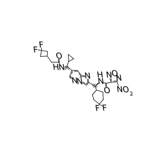 O=C(CC1CC(F)(F)C1)N[C@@H](c1cnn2cc([C@@H](NC(=O)c3nonc3[N+](=O)[O-])C3CCC(F)(F)CC3)nc2c1)C1CC1